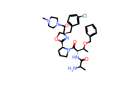 CC(N)C(=O)N[C@H](C(=O)N1CCC[C@H]1C1=N[C@@](Cc2cccc(Cl)c2)(C(=O)N2CCN(C)CC2)CO1)C(C)OCc1ccccc1